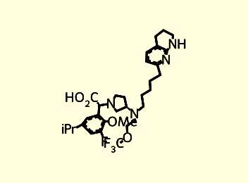 COc1c(F)cc(C(C)C)cc1[C@@H](C(=O)O)N1CC[C@@H](N(CCCCCc2ccc3c(n2)NCCC3)CCOC(F)(F)F)C1